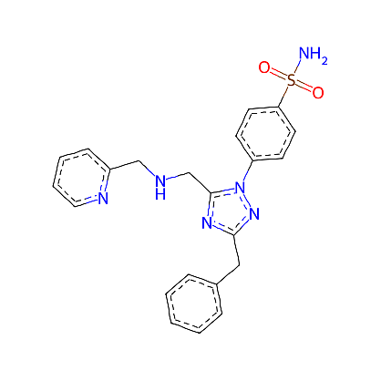 NS(=O)(=O)c1ccc(-n2nc(Cc3ccccc3)nc2CNCc2ccccn2)cc1